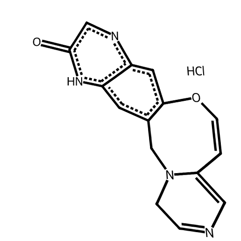 Cl.O=c1cnc2cc3c(cc2[nH]1)CN1CC=NC=C1C=CO3